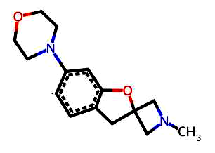 CN1CC2(Cc3c[c]c(N4CCOCC4)cc3O2)C1